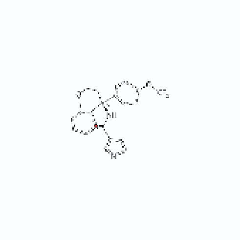 O=C(N[C@]1(c2ccc(OC(F)(F)F)cc2)CCOc2ccccc21)c1ccns1